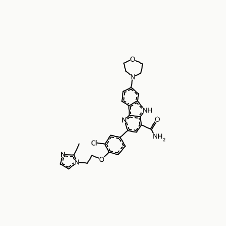 Cc1nccn1CCOc1ccc(-c2cc(C(N)=O)c3[nH]c4cc(N5CCOCC5)ccc4c3n2)cc1Cl